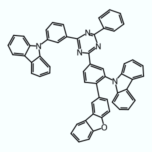 c1ccc(-c2nc(-c3cccc(-n4c5ccccc5c5ccccc54)c3)nc(-c3ccc(-c4ccc5oc6ccccc6c5c4)c(-n4c5ccccc5c5ccccc54)c3)n2)cc1